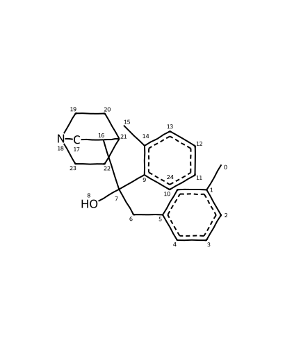 Cc1cccc(CC(O)(c2ccccc2C)C2CN3CCC2CC3)c1